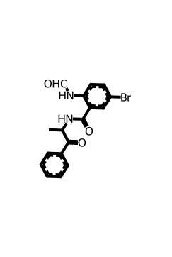 CC(NC(=O)c1cc(Br)ccc1NC=O)C(=O)c1ccccc1